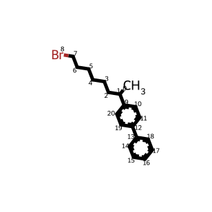 CC(CCCCCCBr)c1ccc(-c2ccccc2)cc1